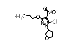 [CH2]CCOc1nn(C2CCOC2)c(Cl)c1[N+](=O)[O-]